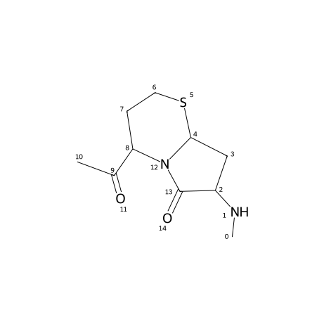 CNC1CC2SCCC(C(C)=O)N2C1=O